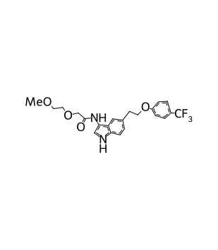 COCCOCC(=O)Nc1c[nH]c2ccc(CCOc3ccc(C(F)(F)F)cc3)cc12